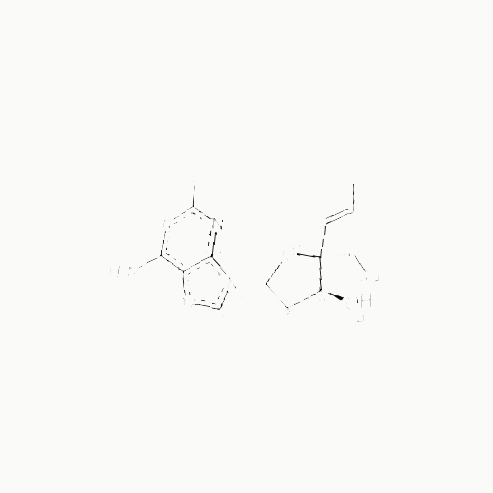 C/C=C/[C@]1(CO)O[C@@H](n2cnc3c(N)nc(F)nc32)C[C@@H]1O